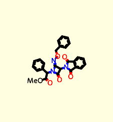 COC(=O)C(c1ccccc1)N1C(=O)C(N2C(=O)c3ccccc3C2=O)/C1=N\OCc1ccccc1